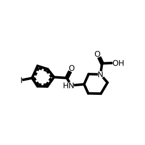 O=C(NC1CCCN(C(=O)O)C1)c1ccc(I)cc1